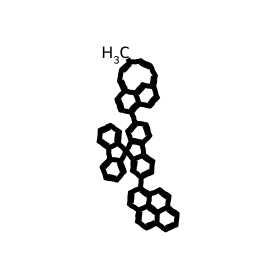 Cc1cccc2ccc3c(-c4ccc5c(c4)C4(c6ccccc6-c6ccccc64)c4cc(-c6ccc7ccc8cccc9ccc6c7c89)ccc4-5)ccc(cc1)c3c2